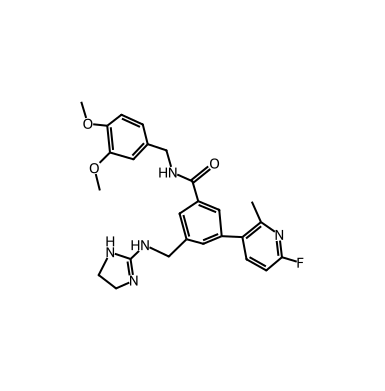 COc1ccc(CNC(=O)c2cc(CNC3=NCCN3)cc(-c3ccc(F)nc3C)c2)cc1OC